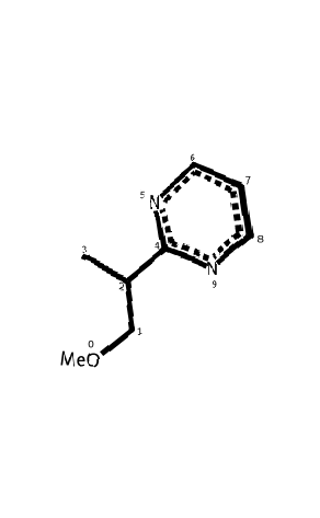 [CH2]OCC(C)c1ncccn1